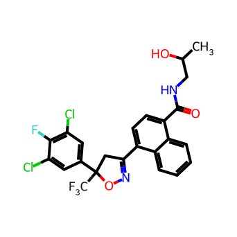 CC(O)CNC(=O)c1ccc(C2=NOC(c3cc(Cl)c(F)c(Cl)c3)(C(F)(F)F)C2)c2ccccc12